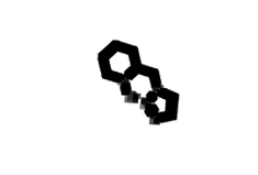 CC(C)N1CC[CH]CC1Cn1ccnn1